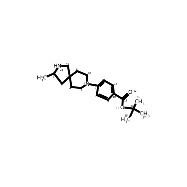 CC1CC2(CCN(c3ccc(C(=O)OC(C)(C)C)cc3)CC2)CN1